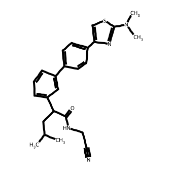 CC(C)CC(C(=O)NCC#N)c1cccc(-c2ccc(-c3csc(N(C)C)n3)cc2)c1